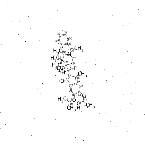 [2H]C([2H])(C1C(=O)c2cc(OC(C)C)c(OC(C)C)cc2C1C)C1(C)CCN(C(C)c2ccccc2)C(C)C1(C)C